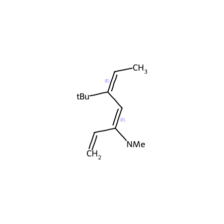 C=C/C(=C\C(=C/C)C(C)(C)C)NC